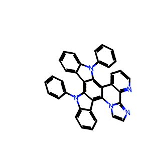 c1ccc(-n2c3ccccc3c3c2c2c4cccnc4c4nccn4c2c2c4ccccc4n(-c4ccccc4)c32)cc1